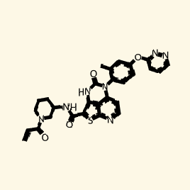 C=CC(=O)N1CCCC(NC(=O)c2sc3nccc4c3c2NC(=O)N4c2ccc(Oc3cccnn3)cc2C)C1